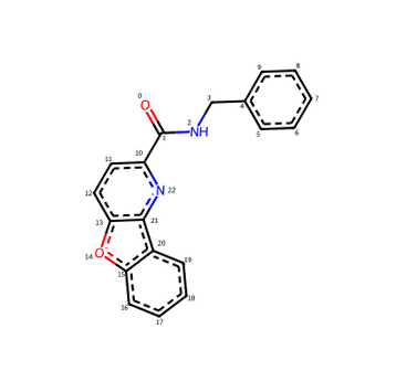 O=C(NCc1ccccc1)c1ccc2oc3ccccc3c2n1